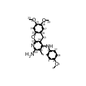 COc1ccc(Nc2c(C)c(N)nc3c2Cc2cc(OC)c(OC)cc2O3)cc1